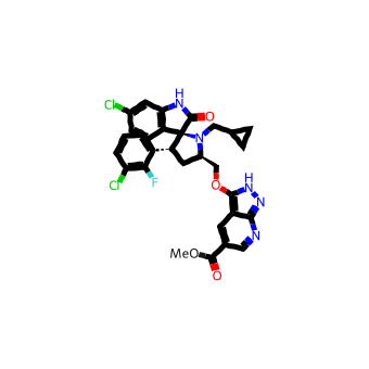 COC(=O)c1cnc2n[nH]c(OC[C@H]3C[C@H](c4cccc(Cl)c4F)[C@]4(C(=O)Nc5cc(Cl)ccc54)N3CC3CC3)c2c1